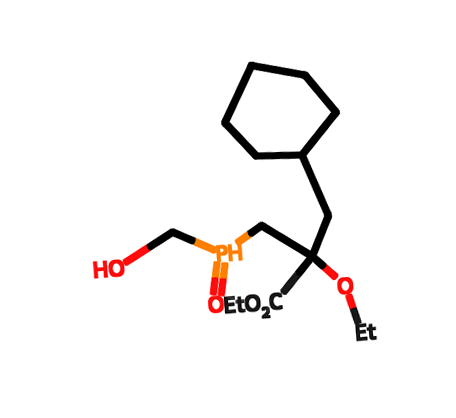 CCOC(=O)C(CC1CCCCC1)(C[PH](=O)CO)OCC